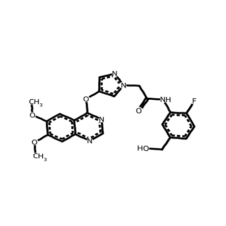 COc1cc2ncnc(Oc3cnn(CC(=O)Nc4cc(CO)ccc4F)c3)c2cc1OC